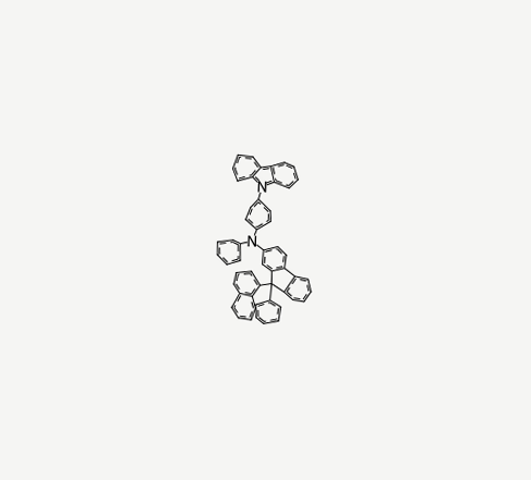 c1ccc(N(c2ccc(-n3c4ccccc4c4ccccc43)cc2)c2ccc3c(c2)C(c2ccccc2)(c2cccc4ccccc24)c2ccccc2-3)cc1